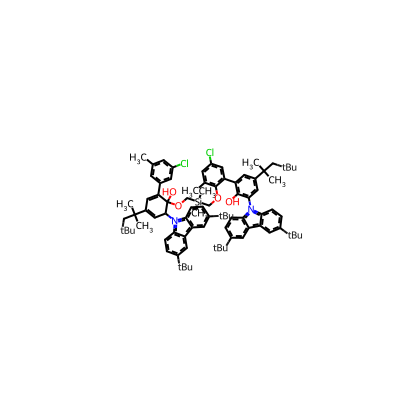 Cc1cc(Cl)cc(C2=CC(C(C)(C)CC(C)(C)C)=CC(n3c4ccc(C(C)(C)C)cc4c4cc(C(C)(C)C)ccc43)C2(O)OC[Si](C)(C)COc2c(C)cc(Cl)cc2-c2cc(C(C)(C)CC(C)(C)C)cc(-n3c4ccc(C(C)(C)C)cc4c4cc(C(C)(C)C)ccc43)c2O)c1